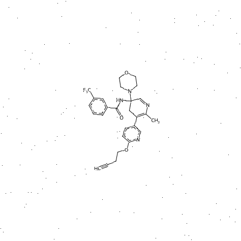 C#CCCOc1ccc(C2=C(C)N=CC(NC(=O)c3cccc(C(F)(F)F)c3)(N3CCOCC3)C2)cn1